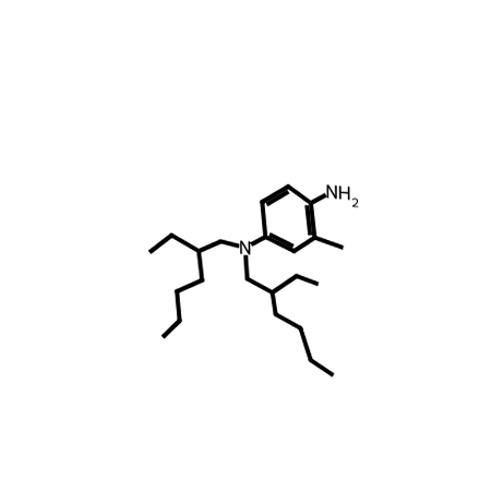 CCCCC(CC)CN(CC(CC)CCCC)c1ccc(N)c(C)c1